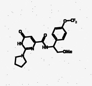 COCC(NC(=O)c1cc(=O)[nH]c(N2CCCC2)n1)c1ccc(OC(F)(F)F)cc1